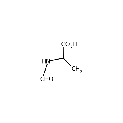 CC(N[C]=O)C(=O)O